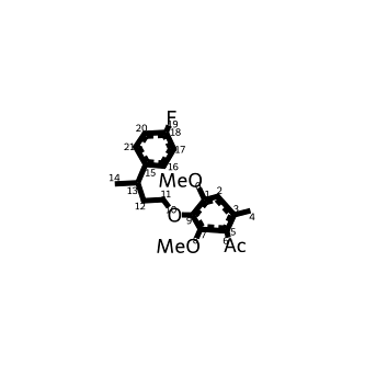 COc1cc(C)c(C(C)=O)c(OC)c1OCCC(C)c1ccc(F)cc1